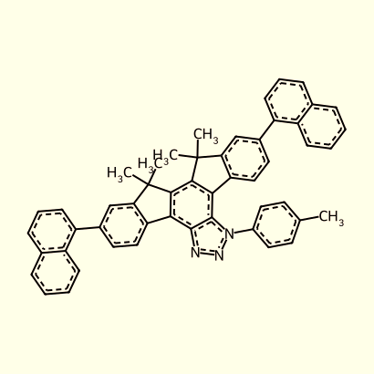 Cc1ccc(-n2nnc3c4c(c5c(c32)-c2ccc(-c3cccc6ccccc36)cc2C5(C)C)C(C)(C)c2cc(-c3cccc5ccccc35)ccc2-4)cc1